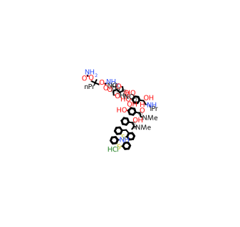 CC(C)NCC(O)c1ccc(O)c(O)c1.CCCC(C)(COC(N)=O)COC(N)=O.CNC[C@H](O)c1ccc(O)c(O)c1.CN[C@@H](C)[C@H](O)c1ccccc1.Cl.O=[N+]([O-])O[C@H]1CO[C@H]2[C@@H]1OC[C@H]2O[N+](=O)[O-].c1ccc2c(c1)Cc1ccccc1S2.c1ccc2c(c1)Nc1ccccc1S2